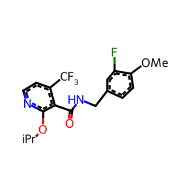 COc1ccc(CNC(=O)c2c(C(F)(F)F)ccnc2OC(C)C)cc1F